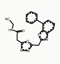 N#CCNC(=O)Cc1nnc(Cc2nc3cccc(-c4ccccc4)c3s2)o1